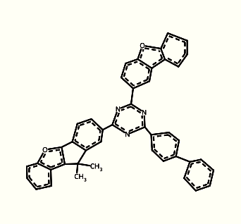 CC1(C)c2cc(-c3nc(-c4ccc(-c5ccccc5)cc4)nc(-c4ccc5oc6ccccc6c5c4)n3)ccc2-c2oc3ccccc3c21